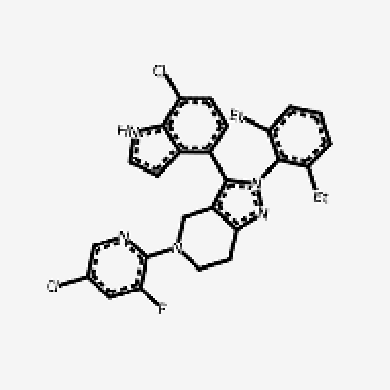 CCc1cccc(CC)c1-n1nc2c(c1-c1ccc(Cl)c3[nH]ccc13)CN(c1ncc(Cl)cc1F)CC2